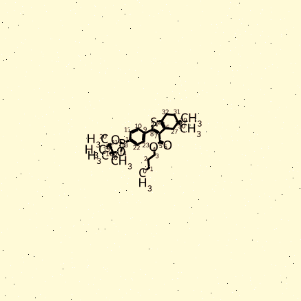 CCCCOC(=O)c1c(-c2ccc(B3OC(C)(C)C(C)(C)O3)cc2)sc2c1CC(C)(C)CC2